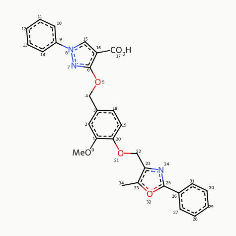 COc1cc(COc2nn(-c3ccccc3)cc2C(=O)O)ccc1OCc1nc(-c2ccccc2)oc1C